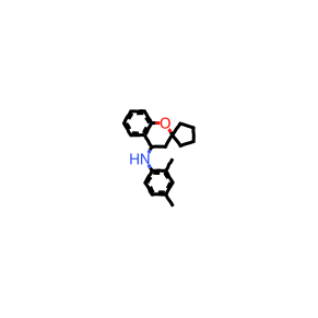 Cc1ccc(NC2CC3(CCCC3)Oc3ccccc32)c(C)c1